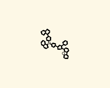 c1ccc(-c2cc(-c3ccc(N(c4ccc(-c5cccc6ccccc56)cc4)c4cccc5ccccc45)cc3)ccc2-c2cccc3c2oc2ccccc23)cc1